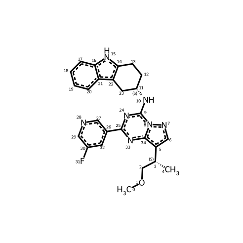 COC[C@@H](C)c1cnn2c(N[C@H]3CCc4[nH]c5ccccc5c4C3)nc(-c3cncc(F)c3)nc12